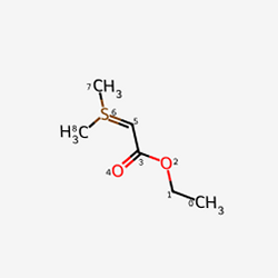 CCOC(=O)C=S(C)C